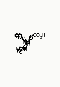 O=C(O)C(F)(F)F.O=C(O)CN1CCC(c2cnc(N3CCOCC3)c3nc(COc4ccc5ccccc5n4)cn23)CC1